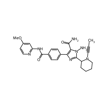 CC#CN1CCCCC1c1nc(-c2ccc(C(=O)Nc3cc(OC)ccn3)cc2)c(C(N)=O)n1N